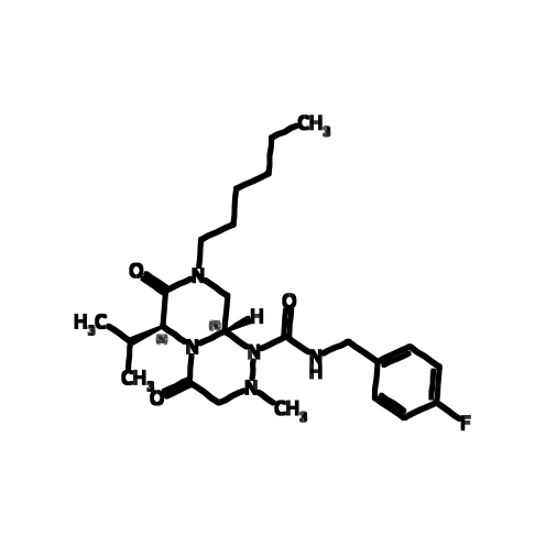 CCCCCCN1C[C@H]2N(C(=O)CN(C)N2C(=O)NCc2ccc(F)cc2)[C@@H](C(C)C)C1=O